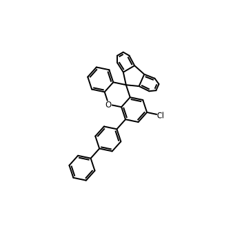 Clc1cc(-c2ccc(-c3ccccc3)cc2)c2c(c1)C1(c3ccccc3O2)c2ccccc2-c2ccccc21